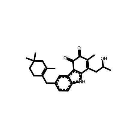 CC1=C(Cc2ccc3[nH]c4c(c3c2)C(=O)C(=O)C(C)=C4CC(C)O)CCC(C)(C)C1